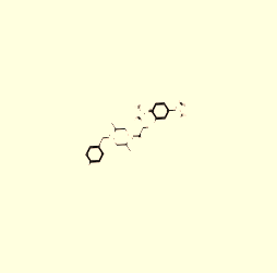 CC1CN(C(=O)COc2cc([N+](=O)[O-])ccc2[N+](=O)[O-])C(C)CN1Cc1ccc(F)cc1